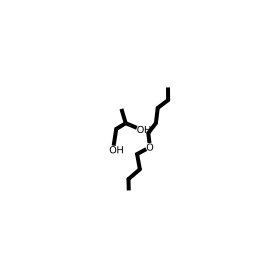 CC(O)CO.CCCCCOCCCC